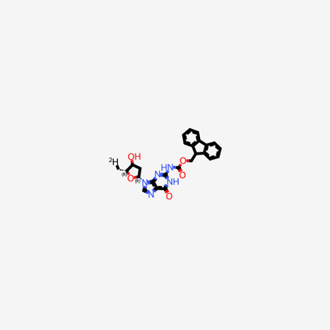 [2H]C[C@H]1O[C@@H](n2cnc3c(=O)[nH]c(NC(=O)OCC4c5ccccc5-c5ccccc54)nc32)CC1O